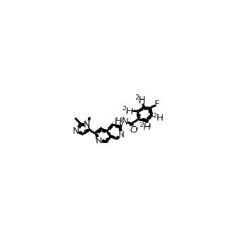 [2H]c1c([2H])c(C(=O)Nc2cc3cc(-c4cnc(C)n4C)ncc3cn2)c([2H])c([2H])c1F